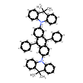 CC1(C)c2ccccc2N(c2ccc3c(-c4ccccc4)c4cc(N5c6ccccc6C(C)(C)c6ccccc65)ccc4c(-c4ccccc4)c3c2)c2ccccc21